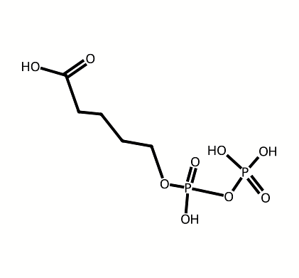 O=C(O)CCCCOP(=O)(O)OP(=O)(O)O